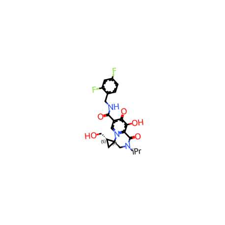 CC(C)N1C[C@]2(C[C@@H]2CO)n2cc(C(=O)NCc3ccc(F)cc3F)c(=O)c(O)c2C1=O